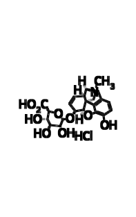 CN1CC[C@]23c4c5ccc(O)c4O[C@H]2[C@@H](OC2O[C@H](C(=O)O)[C@@H](O)[C@H](O)[C@H]2O)C=C[C@H]3[C@H]1C5.Cl